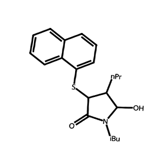 CCCC1C(Sc2cccc3ccccc23)C(=O)N(C(C)CC)C1O